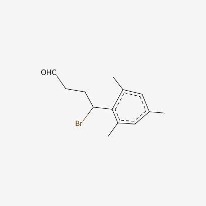 Cc1cc(C)c(C(Br)CCC=O)c(C)c1